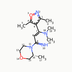 Cc1noc(C)c1/C(=C/C(=N)N1CCOC[C@H]1C)N(C)C